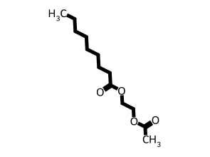 CCCCCCCCC(=O)OCCOC(C)=O